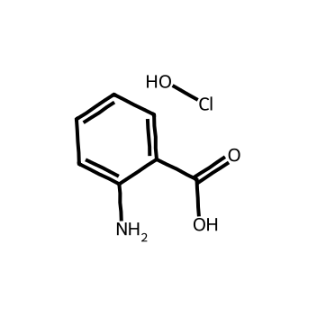 Nc1ccccc1C(=O)O.OCl